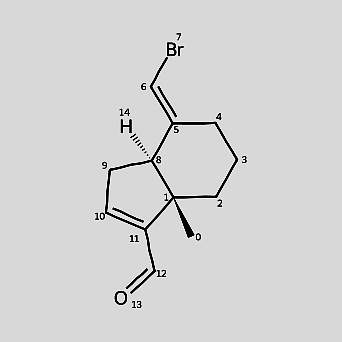 C[C@]12CCC/C(=C\Br)[C@@H]1CC=C2C=O